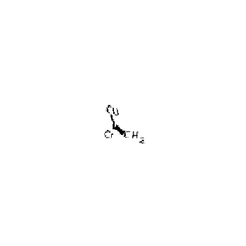 C=[CH][Cu].[Cr]